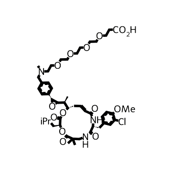 COc1ccc(C[C@H]2NC(=O)/C=C/C[C@@H]([C@H](C)[C@H]3O[C@@H]3c3ccc(CN(C)CCOCCOCCOCCOCCC(=O)O)cc3)OC(=O)[C@H](CC(C)C)OC(=O)C(C)(C)CNC2=O)cc1Cl